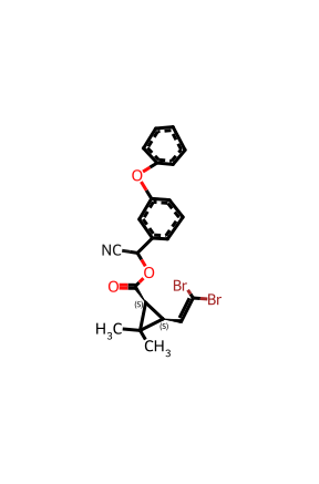 CC1(C)[C@H](C=C(Br)Br)[C@@H]1C(=O)OC(C#N)c1cccc(Oc2ccccc2)c1